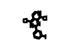 Clc1nc(-c2cccc(I)c2)nc2c(Cl)nccc12